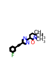 CN1C(=O)C(c2ncc(C#Cc3cccc(F)c3)cn2)CCC1(C)C